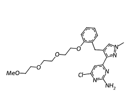 COCCOCCOCCOc1ccccc1Cc1cn(C)nc1-c1cc(Cl)nc(N)n1